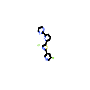 F.Fc1cncc(-c2ncc(-c3cccc(-c4ncccn4)n3)s2)c1